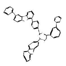 C[C@@H]1CC(c2cccc(-c3ccccc3)c2)=NC(c2ccc(-c3cccc4c3oc3ccc(-c5ccccc5)cc34)cc2)=NC1c1ccc2c(c1)oc1ccccc12